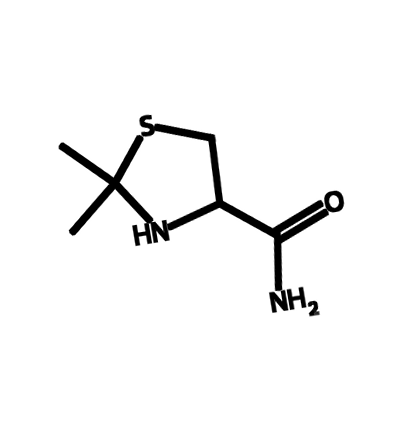 CC1(C)NC(C(N)=O)CS1